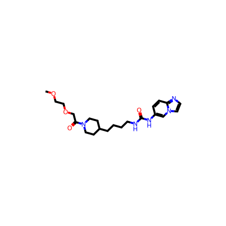 COCCOCC(=O)N1CCC(CCCCNC(=O)Nc2ccc3nccn3c2)CC1